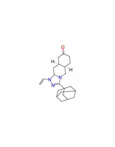 C=CN1N=C(C23CC4CC(CC(C4)C2)C3)N2C[C@@H]3CCC(=O)C[C@@H]3CC12